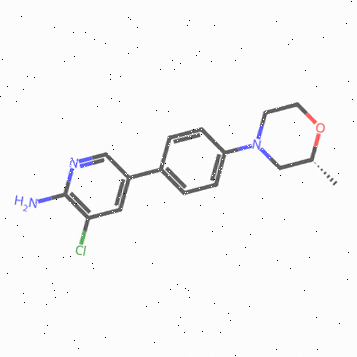 C[C@@H]1CN(c2ccc(-c3cnc(N)c(Cl)c3)cc2)CCO1